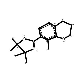 Cc1c(B2OC(C)(C)C(C)(C)O2)ccc2c1OCCC2